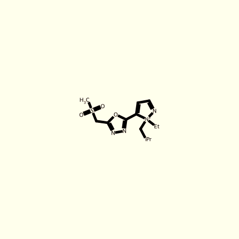 CC[N+]1(CC(C)C)N=CC=C1c1nnc(CS(C)(=O)=O)o1